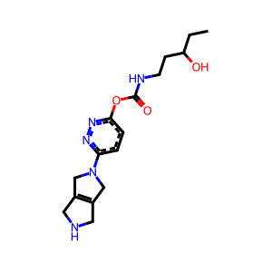 CCC(O)CCNC(=O)Oc1ccc(N2CC3=C(CNC3)C2)nn1